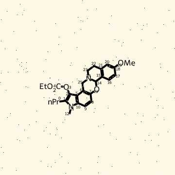 CCCc1c(OC(=O)OCC)c2c3c(ccc2n1C)OC1c2ccc(OC)cc2CCN1C3